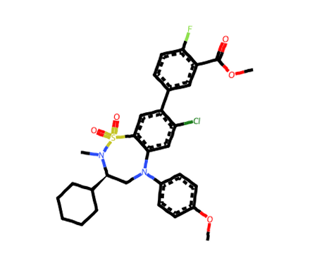 COC(=O)c1cc(-c2cc3c(cc2Cl)N(c2ccc(OC)cc2)C[C@@H](C2CCCCC2)N(C)S3(=O)=O)ccc1F